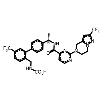 C[C@@H](NC(=O)c1ccnc(N2CCn3nc(C(F)(F)F)cc3C2)n1)c1ccc(-c2cc(C(F)(F)F)ccc2CNC(=O)O)cc1